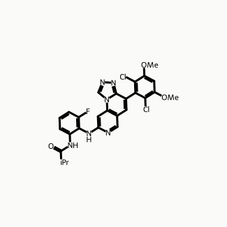 COc1cc(OC)c(Cl)c(-c2cc3cnc(Nc4c(F)cccc4NC(=O)C(C)C)cc3n3cnnc23)c1Cl